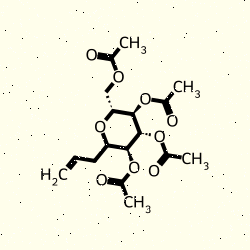 C=CCC1O[C@H](COC(C)=O)[C@@H](OC(C)=O)[C@H](OC(C)=O)[C@H]1OC(C)=O